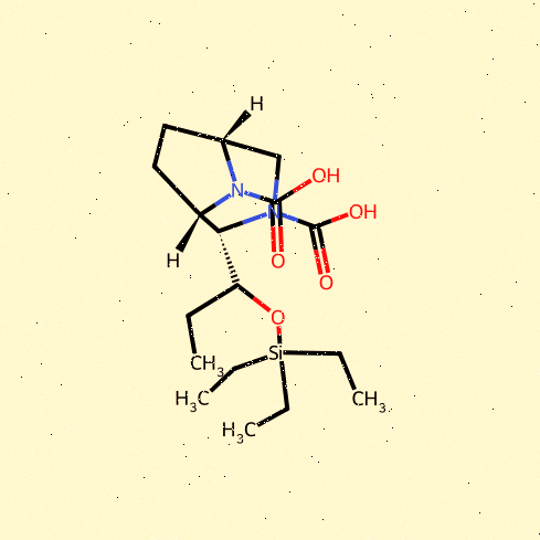 CCC(O[Si](CC)(CC)CC)[C@@H]1[C@@H]2CC[C@H](CN1C(=O)O)N2C(=O)O